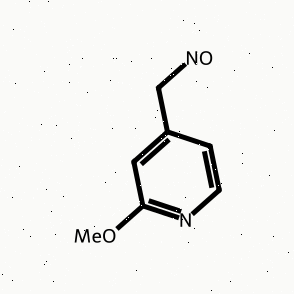 COc1cc(CN=O)ccn1